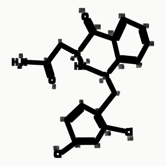 NC(=O)CN1NN(Cc2ccc(Cl)cc2Cl)c2ccccc2C1=O